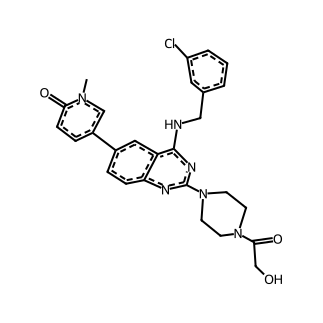 Cn1cc(-c2ccc3nc(N4CCN(C(=O)CO)CC4)nc(NCc4cccc(Cl)c4)c3c2)ccc1=O